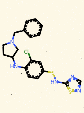 Clc1cc(SNc2ncns2)ccc1NC1CCN(Cc2ccccc2)C1